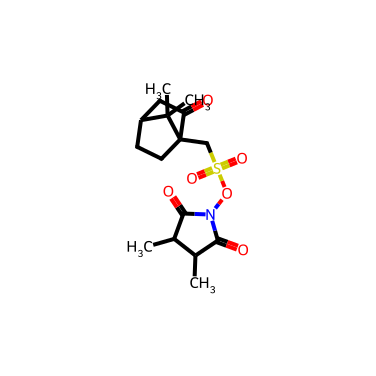 CC1C(=O)N(OS(=O)(=O)CC23CCC(CC2=O)C3(C)C)C(=O)C1C